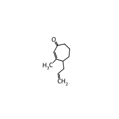 C=CCC1CCCC(=O)C=C1C